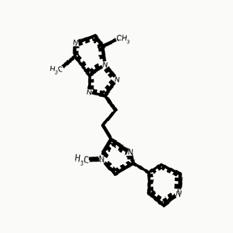 Cc1ncc(C)n2nc(CCc3nc(-c4ccncc4)cn3C)nc12